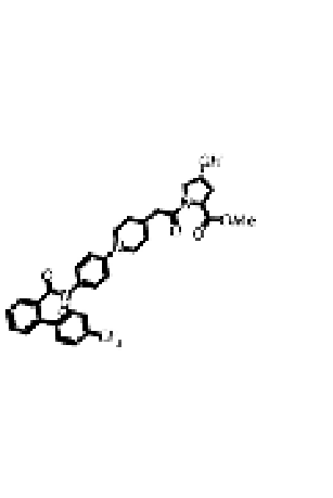 COC(=O)C1C[C@@H](O)CN1C(=O)CC1CCN(c2ccc(NC(=O)c3ccccc3-c3ccc(C(F)(F)F)cc3)cc2)CC1